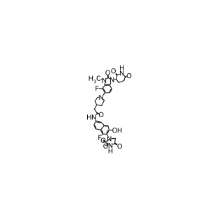 Cn1c(=O)n(C2CCC(=O)NC2=O)c2ccc(N3CCC(CC(=O)Nc4ccc5c(F)c(N6CC(=O)NS6(=O)=O)c(O)cc5c4)CC3)c(F)c21